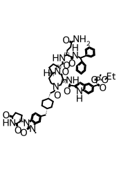 CCOP(C)(=O)C(=O)c1ccc2[nH]c(C(=O)N[C@H]3CN(C(=O)C[C@H]4CC[C@@H](Cc5ccc6c(c5)n(C)c(=O)n6[C@H]5CCC(=O)NC5=O)CC4)CC[C@H]4CC[C@@H](C(=O)N[C@@H](CCC(N)=O)C(=O)NC(c5ccccc5)c5ccccc5)N4C3=O)cc2c1